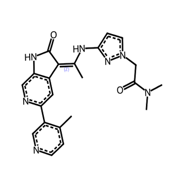 C/C(Nc1ccn(CC(=O)N(C)C)n1)=C1/C(=O)Nc2cnc(-c3cnccc3C)cc21